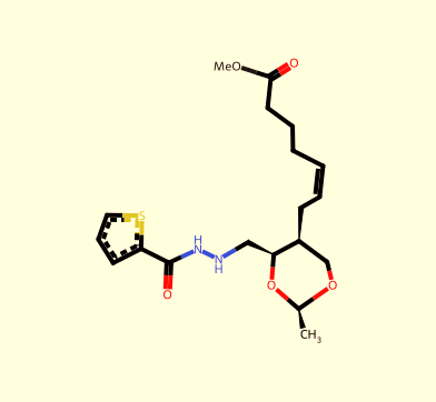 COC(=O)CCC/C=C\C[C@H]1CO[C@@H](C)O[C@H]1CNNC(=O)c1cccs1